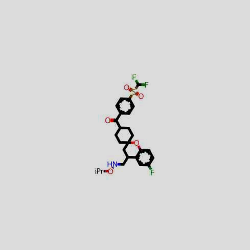 CC(C)ONCC1CC2(CCC(C(=O)c3ccc(S(=O)(=O)C(F)F)cc3)CC2)Oc2ccc(F)cc21